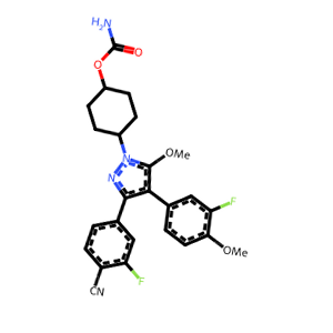 COc1ccc(-c2c(-c3ccc(C#N)c(F)c3)nn(C3CCC(OC(N)=O)CC3)c2OC)cc1F